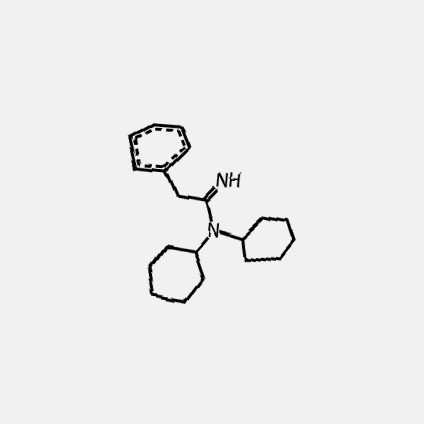 N=C(Cc1ccccc1)N(C1CCCCC1)C1CCCCC1